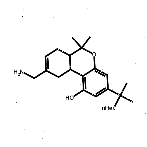 CCCCCCC(C)(C)c1cc(O)c2c(c1)OC(C)(C)C1CC=C(CN)CC21